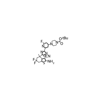 CC(C)(C)OC(=O)N1CCN(c2cc(F)nc(-c3noc(C4(C)CC(F)(F)Cc5sc(N)c(C#N)c54)n3)c2)CC1